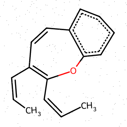 C/C=C\C1=C(/C=C\C)Oc2ccccc2C=C1